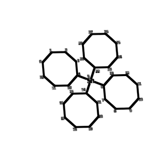 C1CCC[CH]([Sn]([CH]2CCCCCCC2)([CH]2CCCCCCC2)[CH]2CCCCCCC2)CCC1